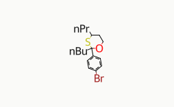 CCCCC1(c2ccc(Br)cc2)OCCC(CCC)S1